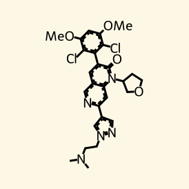 COc1cc(OC)c(Cl)c(-c2cc3cnc(-c4cnn(CCN(C)C)c4)cc3n(C3CCOC3)c2=O)c1Cl